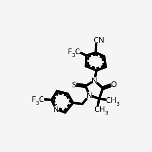 CC1(C)C(=O)N(c2ccc(C#N)c(C(F)(F)F)c2)C(=S)N1Cc1ccc(C(F)(F)F)nc1